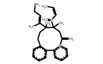 C=C1CC(C)([N+](=C)/C=C\C)C(C)(/C(C)=C/CN)CCc2ccccc2-c2cccc[n+]21